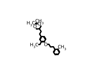 CCc1cc(CCC2COC(C)(C)OC2)ccc1OCCCc1ccccc1C